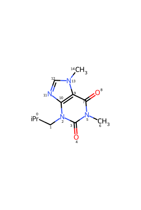 CC(C)Cn1c(=O)n(C)c(=O)c2c1ncn2C